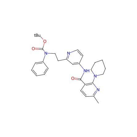 Cc1ccc(C(=O)Nc2ccnc(CCN(C(=O)OC(C)(C)C)c3ccccc3)c2)c(N2CCCCC2)n1